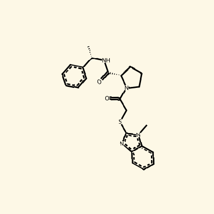 C[C@H](NC(=O)[C@@H]1CCCN1C(=O)CSc1nc2ccccc2n1C)c1ccccc1